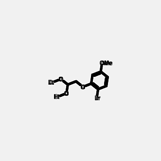 CCOC(COc1cc(OC)ccc1Br)OCC